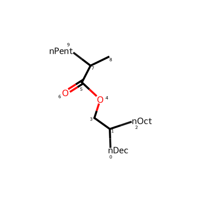 CCCCCCCCCCC(CCCCCCCC)COC(=O)C(C)CCCCC